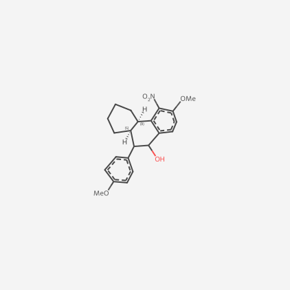 COc1ccc(C2C(O)c3ccc(OC)c([N+](=O)[O-])c3[C@@H]3CCCC[C@H]23)cc1